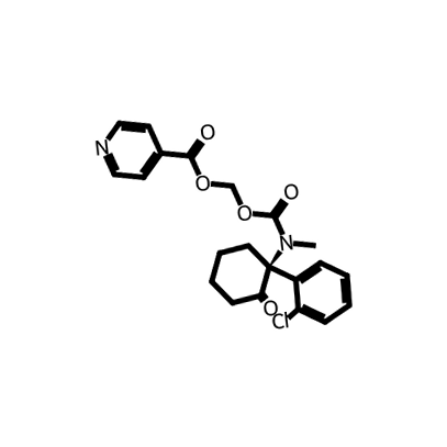 CN(C(=O)OCOC(=O)c1ccncc1)[C@]1(c2ccccc2Cl)CCCCC1=O